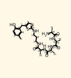 Cc1ccc(O)c(Cc2cnc(NCCCNC(=O)[C@H](C)NC(=O)[C@H](C)NC(=O)[C@H](C)NC(=O)[C@H](C)N)s2)c1